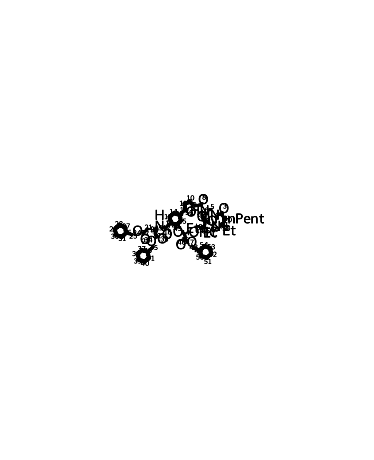 CCCCC[C@@H](C(=O)NCNC(=O)c1ccc(-c2ccc(C(=O)N[C@@H](CC(=O)OCc3ccccc3)C(=O)OCc3ccccc3)c(OCC(=O)OCc3ccccc3)c2)o1)[C@@H](CC)N(C=O)OC(=O)C(CC)CC